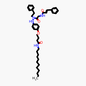 CCCCCCCCCCCCNC(=O)CCCOc1ccc(NN(CCc2ccccc2)C(=O)CNC(=O)/C=C/c2ccccc2)cc1